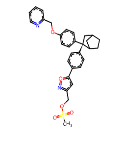 CS(=O)(=O)OCc1cc(-c2ccc([C@@]3(c4ccc(OCc5ccccn5)cc4)CC4CCC3C4)cc2)on1